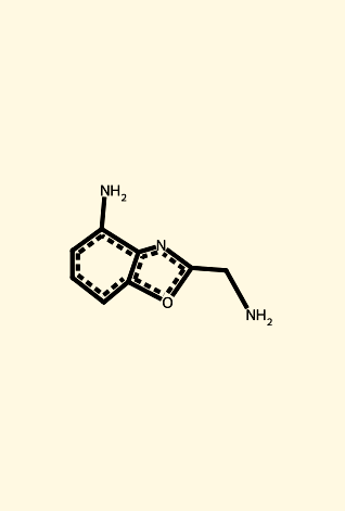 NCc1nc2c(N)cccc2o1